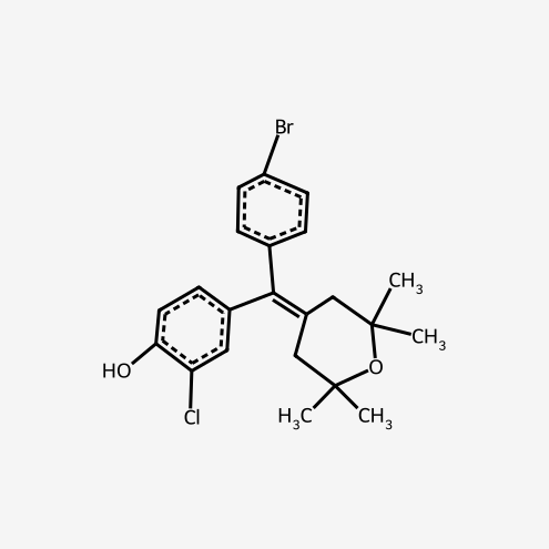 CC1(C)CC(=C(c2ccc(Br)cc2)c2ccc(O)c(Cl)c2)CC(C)(C)O1